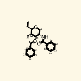 CC[C@H]1OC[C@H](NC(=O)c2ccccc2)[C@@H](OCc2ccccc2)[C@H]1C